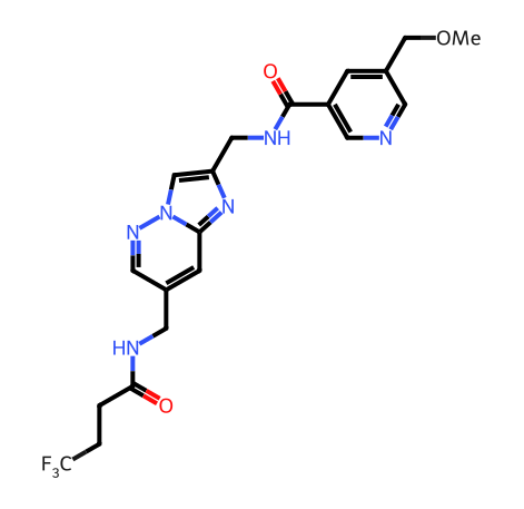 COCc1cncc(C(=O)NCc2cn3ncc(CNC(=O)CCC(F)(F)F)cc3n2)c1